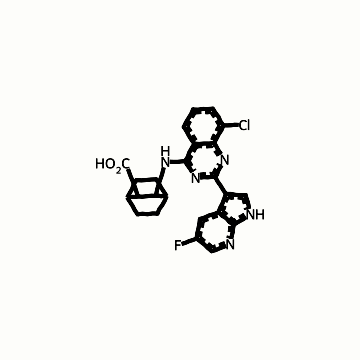 O=C(O)C1C2CCC(CC2)C1Nc1nc(-c2c[nH]c3ncc(F)cc23)nc2c(Cl)cccc12